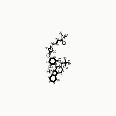 C[C@@H]1Cc2c([nH]c3ccccc23)[C@@H](c2c(F)cc(OC3CN(C/C=C/C(=O)N(C)C)C3)cc2F)N1CC(C)(C)F